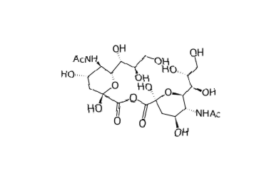 CC(=O)N[C@H]1[C@H]([C@H](O)[C@H](O)CO)O[C@](O)(C(=O)OC(=O)[C@]2(O)C[C@H](O)[C@@H](NC(C)=O)[C@H]([C@H](O)[C@H](O)CO)O2)C[C@@H]1O